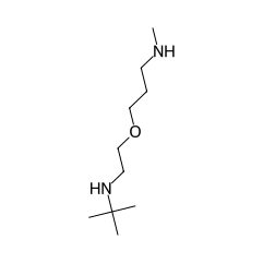 CNCCCOCCNC(C)(C)C